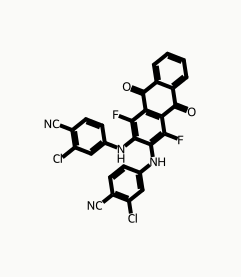 N#Cc1ccc(Nc2c(F)c3c(c(F)c2Nc2ccc(C#N)c(Cl)c2)C(=O)c2ccccc2C3=O)cc1Cl